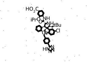 CC(C)Oc1cc(C(=O)O)ccc1NC(=O)[C@@H]1N[C@@H](CC(C)(C)C)[C@@]2(CN(Cc3ccc(-c4nnn[nH]4)cc3)c3ccc(Cl)cc32)[C@H]1c1ccccc1Cl